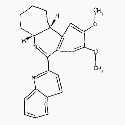 COc1cc2c(cc1OC)[C@H]1CCCC[C@H]1N=C2c1ccc2ccccc2n1